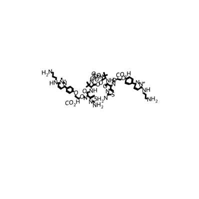 C[n+]1nc(-c2ccc(OC[C@H](O/N=C(\C(=O)N[C@@H]3C(=O)N(OS(=O)(=O)ON4C(=O)[C@@H](NC(=O)/C(=N\O[C@@H](COc5ccc(-c6ccc(NCCCN)[n+](C)n6)cc5)C(=O)O)c5csc(N)n5)C4(C)C)C3(C)C)c3csc(N)n3)C(=O)O)cc2)ccc1NCCCN